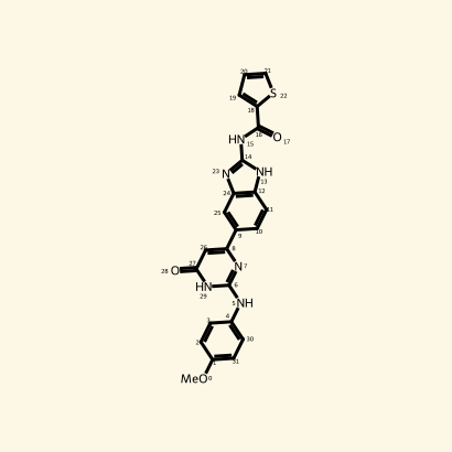 COc1ccc(Nc2nc(-c3ccc4[nH]c(NC(=O)c5cccs5)nc4c3)cc(=O)[nH]2)cc1